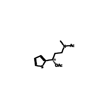 CC(=O)O[C@@H](CCN(C)C(C)=O)c1cccs1